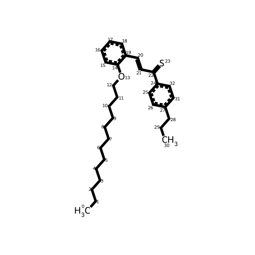 CCCCCCCCCCCCCOc1ccccc1C=CC(=S)c1ccc(CCC)cc1